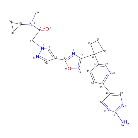 CN(C(=O)Cn1cc(-c2nc(C3(c4ccc(-c5cnc(N)nc5)nc4)CCC3)no2)cn1)C1CC1